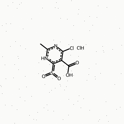 Cc1nc(Cl)c(C(=O)O)c(=S(=O)=O)[nH]1.Cl